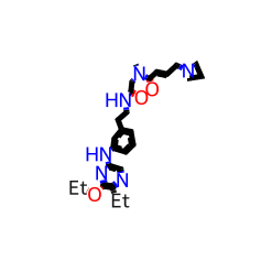 CCOc1nc(Nc2cccc(CCNC(=O)CN(C)C(=O)/C=C/CN3CCC3)c2)cnc1CC